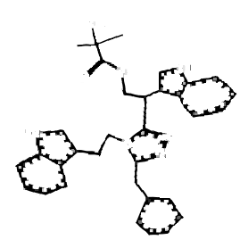 CC(C)(N)C(=O)NCC(c1c[nH]c2ccccc12)c1nnc(Cc2ccccc2)n1CCc1c[nH]c2ccccc12